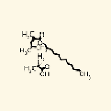 C=C(C)C(=O)O.C=C(CC(C)C)C(=O)OCCCCCCCCCCCC